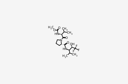 COC(=O)N[C@H](C(=O)N1CCC[C@H]1C(=O)NC(C(C)C)[C@@H](O)C(F)(F)F)C(C)C